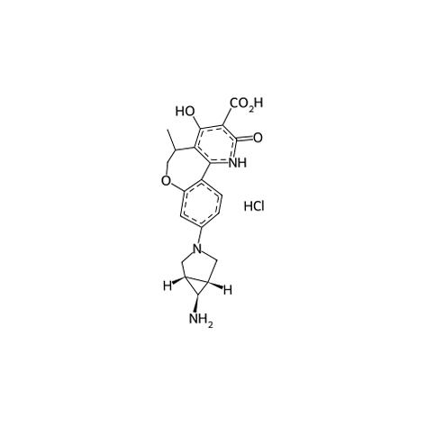 CC1COc2cc(N3C[C@@H]4[C@@H](N)[C@@H]4C3)ccc2-c2[nH]c(=O)c(C(=O)O)c(O)c21.Cl